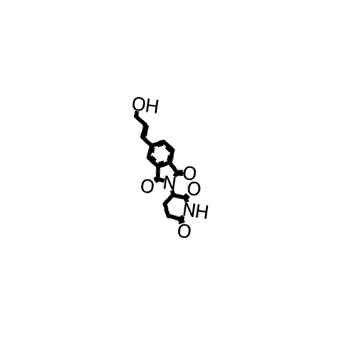 O=C1CCC(N2C(=O)c3ccc(C=CCO)cc3C2=O)C(=O)N1